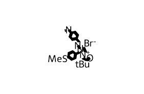 CSc1ccc(-c2n(/N=C/c3ccc(N(C)C)cc3)cc[n+]2CC(=O)C(C)(C)C)cc1.[Br-]